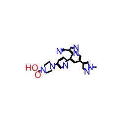 Cn1cc(-c2cc(-c3ccc(N4CCN(C(=O)O)CC4)cn3)c3c(C#N)cnn3c2)cn1